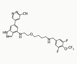 N#Cc1cc(-c2cc(NCCOCCCCNCc3cc(F)c(OC(F)(F)F)c(F)c3)c3cn[nH]c3c2)cnn1